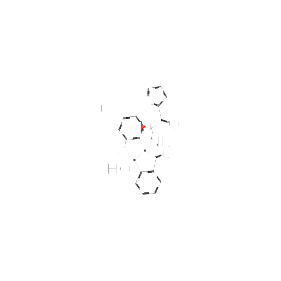 CC(C)c1ccc2c(c1)OC1(O)c3ccccc3C(=O)C21NC(=O)C(=O)c1ccco1